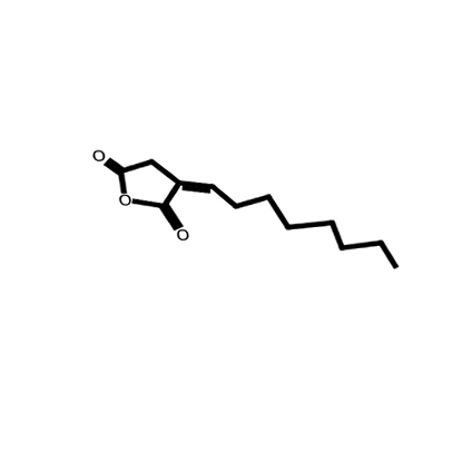 CCCCCCCC=C1CC(=O)OC1=O